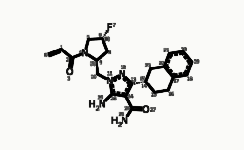 C=CC(=O)N1C[C@H](F)C[C@H]1Cn1nc([C@H]2CCc3ccccc3C2)c(C(N)=O)c1N